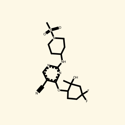 CC1(O)CC(F)(F)CCC1Oc1nc(NC2CCN(S(C)(=O)=O)CC2)ncc1C#N